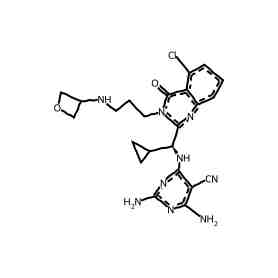 N#Cc1c(N)nc(N)nc1N[C@H](c1nc2cccc(Cl)c2c(=O)n1CCCNC1COC1)C1CC1